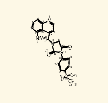 CNc1cccc2nccc(CN3CC(=O)N(c4ccc(S(=O)(=O)C(F)(F)F)cc4)C3=O)c12